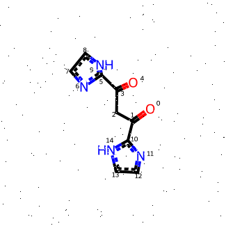 O=C(CC(=O)c1ncc[nH]1)c1ncc[nH]1